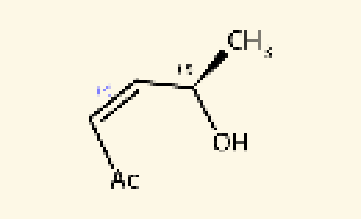 CC(=O)/C=C\[C@@H](C)O